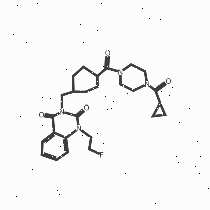 O=C(C1CCC(Cn2c(=O)c3ccccc3n(CCF)c2=O)CC1)N1CCN(C(=O)C2CC2)CC1